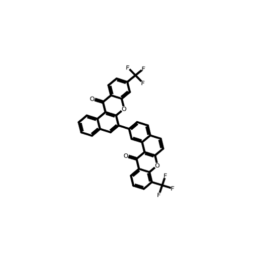 O=c1c2cccc(C(F)(F)F)c2oc2ccc3ccc(-c4cc5ccccc5c5c(=O)c6ccc(C(F)(F)F)cc6oc45)cc3c12